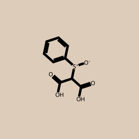 O=C(O)C(C(=O)O)[S+]([O-])c1ccccc1